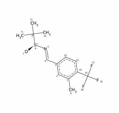 Cc1cc(C=N[S@@+]([O-])C(C)(C)C)ccc1C(F)(F)F